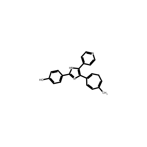 CC1=CCC=C(c2nc(-c3ccc(O)cc3)[nH]c2-c2ccncc2)C=C1